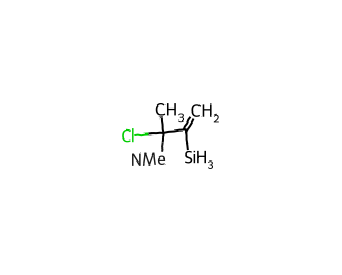 C=C([SiH3])C(C)(Cl)NC